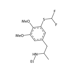 CCNC(C)Cc1cc(OC)c(OC)c(SC(F)F)c1